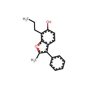 CCCc1c(O)ccc2c(-c3ccccc3)c(C)oc12